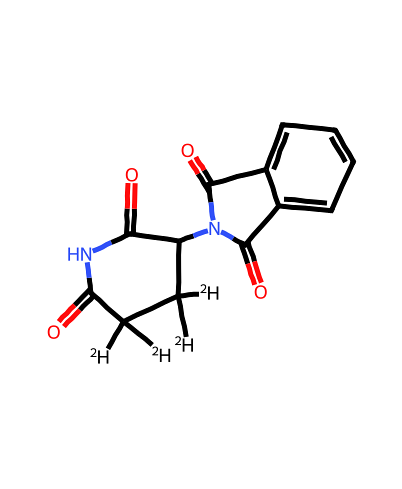 [2H]C1([2H])C(=O)NC(=O)C(N2C(=O)c3ccccc3C2=O)C1([2H])[2H]